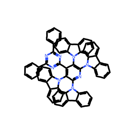 c1ccc(-c2nc(-c3ccccc3)nc(-c3c(-n4c5ccccc5c5ccccc54)c(-n4c5ccccc5c5ccccc54)nc(-n4c5ccccc5c5ccccc54)c3-n3c4ccccc4c4ccccc43)n2)cc1